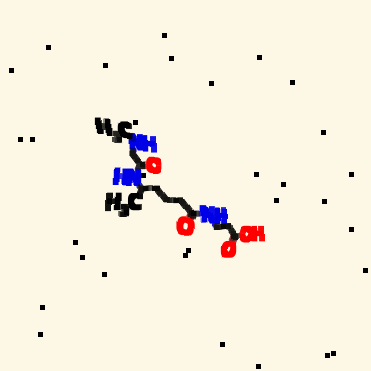 CNCC(=O)NC(C)CCCC(=O)NCCC(=O)O